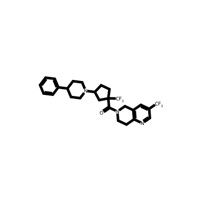 O=C(N1CCc2ncc(C(F)(F)F)cc2C1)C1(C(F)(F)F)CCC(N2CCC(c3ccccc3)CC2)C1